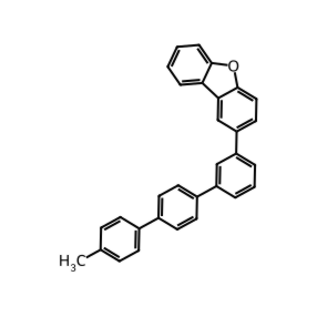 Cc1ccc(-c2ccc(-c3cccc(-c4ccc5oc6ccccc6c5c4)c3)cc2)cc1